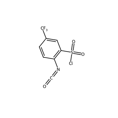 O=C=Nc1ccc(C(F)(F)F)cc1S(=O)(=O)Cl